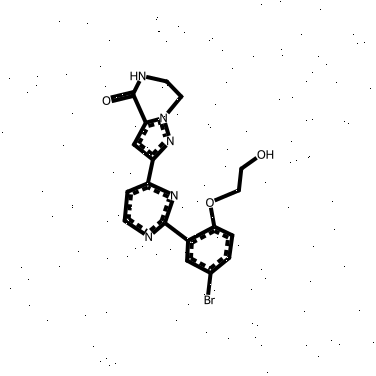 O=C1NCCn2nc(-c3ccnc(-c4cc(Br)ccc4OCCO)n3)cc21